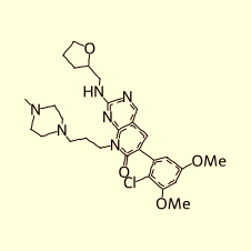 COc1cc(OC)c(Cl)c(-c2cc3cnc(NCC4CCCO4)nc3n(CCCN3CCN(C)CC3)c2=O)c1